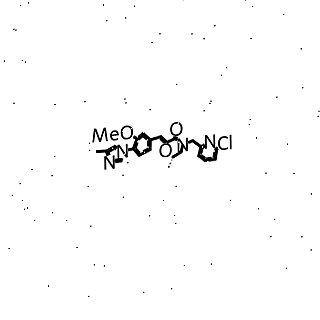 COc1cc(C=C2O[C@@H](C)CN(Cc3cccc(Cl)n3)C2=O)ccc1-n1cnc(C)c1